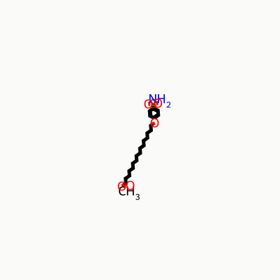 COC(=O)CCCCCCCCCCCCCCCOc1ccc(S(N)(=O)=O)cc1